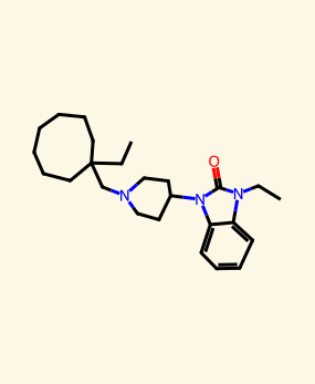 CCn1c(=O)n(C2CCN(CC3(CC)CCCCCCC3)CC2)c2ccccc21